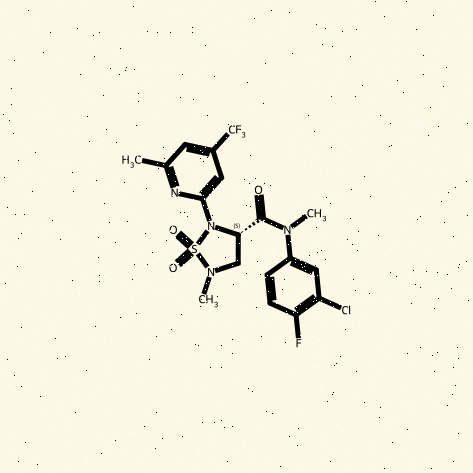 Cc1cc(C(F)(F)F)cc(N2[C@H](C(=O)N(C)c3ccc(F)c(Cl)c3)CN(C)S2(=O)=O)n1